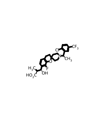 C[C@H](C(=O)O)[C@@H](O)c1ccc2c(c1F)OC1(CC2)CCN([C@H](C)c2cc(C(F)(F)F)ccc2Cl)CC1